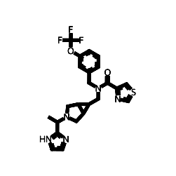 CC(c1ncc[nH]1)N1CC2C(CN(Cc3cccc(OC(F)(F)F)c3)C(=O)c3cscn3)C2C1